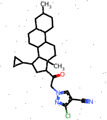 CC1CCC2C(CCC3C2CCC2(C)C(C(=O)Cn4cc(C#N)c(Cl)n4)CC(C4CC4)C32)C1